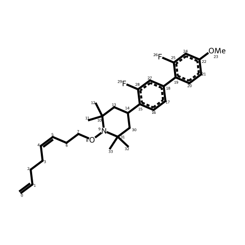 C=CCC/C=C\CCON1C(C)(C)CC(c2ccc(-c3ccc(OC)cc3F)cc2F)CC1(C)C